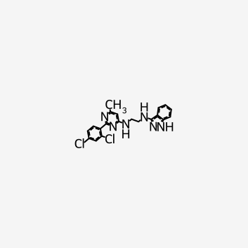 Cc1cc(NCCNc2n[nH]c3ccccc23)nc(-c2ccc(Cl)cc2Cl)n1